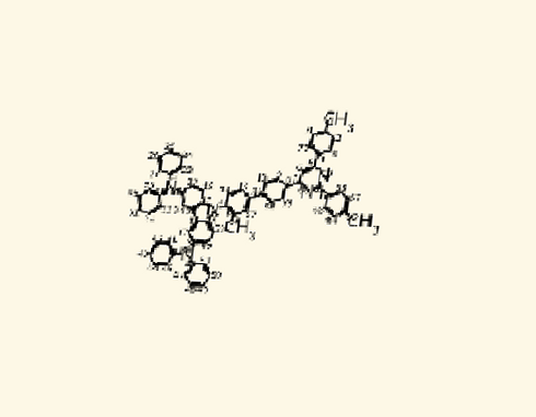 Cc1ccc(-c2cc(-c3ccc(-c4ccc(-n5c6ccc(N(c7ccccc7)c7ccccc7)cc6c6cc(N(c7ccccc7)c7ccccc7)ccc65)c(C)c4)cc3)nc(-c3ccc(C)cc3)n2)cc1